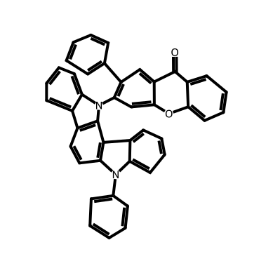 O=c1c2ccccc2oc2cc(-n3c4ccccc4c4ccc5c(c6ccccc6n5-c5ccccc5)c43)c(-c3ccccc3)cc12